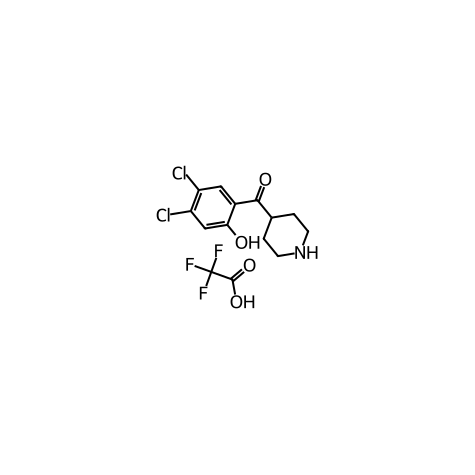 O=C(O)C(F)(F)F.O=C(c1cc(Cl)c(Cl)cc1O)C1CCNCC1